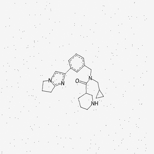 O=C(C1CCCNC1)N(Cc1cccc(-c2cn3c(n2)CCC3)c1)CC1CC1